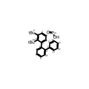 CC(C)(C)c1cccc(-c2ccccc2-c2ccccc2)c1C(C)(C)C.O=PO